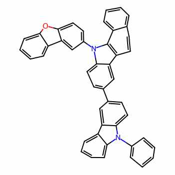 c1ccc(-n2c3ccccc3c3cc(-c4ccc5c(c4)c4ccc6ccccc6c4n5-c4ccc5oc6ccccc6c5c4)ccc32)cc1